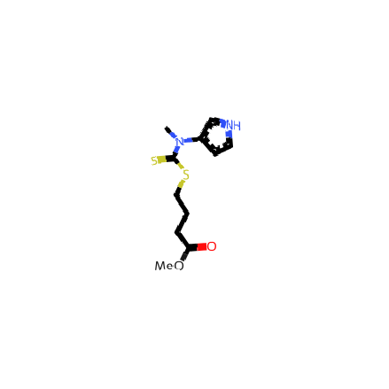 COC(=O)CCCSC(=S)N(C)c1cc[nH]c1